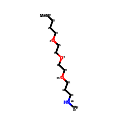 CNCCCOCCOCCOCCCNC(C)C